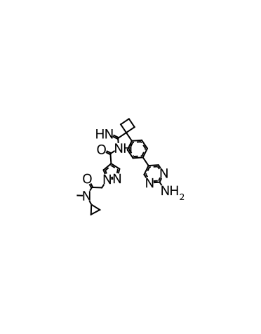 CN(C(=O)Cn1cc(C(=O)NC(=N)C2(c3ccc(-c4cnc(N)nc4)cc3)CCC2)cn1)C1CC1